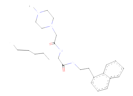 CC(=O)CCCCC[C@H](NC(=O)CN1CCN(C(C)C)CC1)C(=O)NCCc1cccc2ccccc12